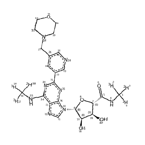 [2H]C([2H])([2H])NC(=O)[C@H]1O[C@@H](n2cnc3c(NC([2H])([2H])[2H])nc(-c4cncc(CN5CCOCC5)c4)nc32)[C@H](O)[C@@H]1O